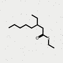 C[CH]SC(=O)CC(CC)CCCCC